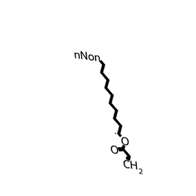 [CH2]CCCCCCCCCCCCCCCCC[CH]OC(=O)C=C